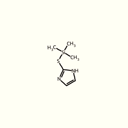 C[Si](C)(C)Sc1ncc[nH]1